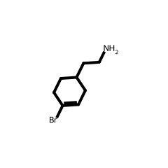 NCCC1CC=C(Br)CC1